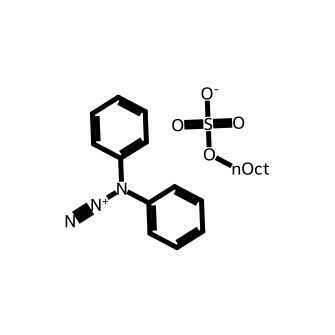 CCCCCCCCOS(=O)(=O)[O-].N#[N+]N(c1ccccc1)c1ccccc1